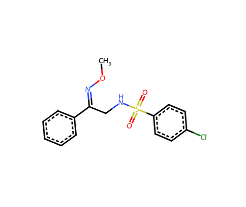 CON=C(CNS(=O)(=O)c1ccc(Cl)cc1)c1[c]cccc1